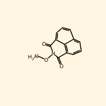 O=C1c2cccc3cccc(c23)C(=O)N1[O][AlH2]